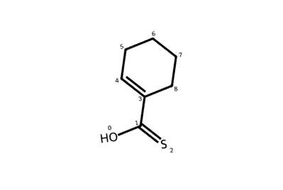 OC(=S)C1=CCCCC1